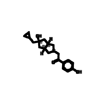 O=C(CN1C[C@@H]2C[C@](O)(CC3CC3)C[C@@H]2C1)c1ccc(O)cc1